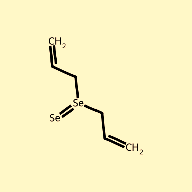 C=CC[Se](=[Se])CC=C